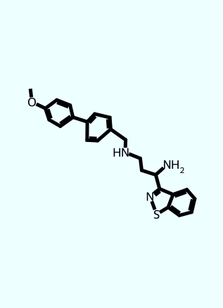 COc1ccc(-c2ccc(CNCCC(N)c3nsc4ccccc34)cc2)cc1